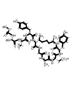 CC[C@H](C)[C@H](NC(=O)OC(C)(C)C)C(=O)N[C@@H](CO)C(=O)N[C@@H](Cc1ccc(O)cc1)C(=O)NCC(=O)NCC(=O)N[C@@H](C)C(=O)N[C@@H](CC(=O)O)C(=O)N[C@@H](Cc1ccc(O)cc1)C(=O)N[C@@H](CCCCN)C(=O)O